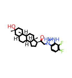 C[C@@]1(O)CC[C@@]2(C)[C@@H](CC[C@@H]3[C@@H]2CC[C@]2(C)[C@@H](C(=O)CN4NNc5c4ccc(F)c5F)CC[C@@H]32)C1